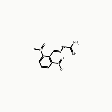 N=C(N)NN=Cc1c([N+](=O)[O-])cccc1[N+](=O)[O-]